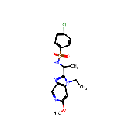 CCn1c(C(C)NS(=O)(=O)c2ccc(Cl)cc2)nc2cnc(OC)cc21